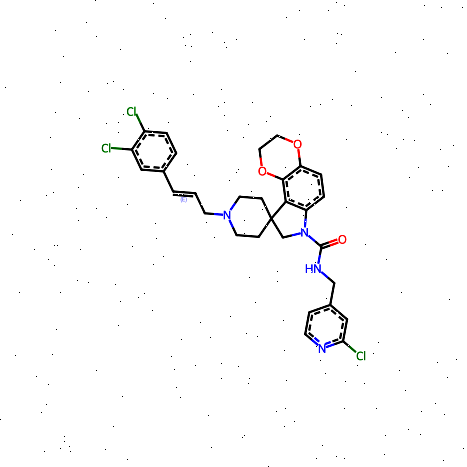 O=C(NCc1ccnc(Cl)c1)N1CC2(CCN(C/C=C/c3ccc(Cl)c(Cl)c3)CC2)c2c1ccc1c2OCCO1